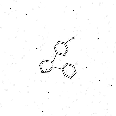 CC(C)c1ccc(-c2ccccc2-c2ccccc2)cc1